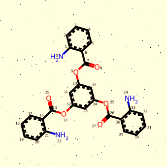 Nc1ccccc1C(=O)Oc1cc(OC(=O)c2ccccc2N)cc(OC(=O)c2ccccc2N)c1